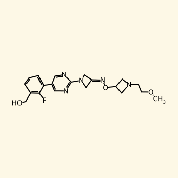 COCCN1CC(ON=C2CN(c3ncc(-c4cccc(CO)c4F)cn3)C2)C1